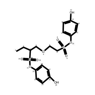 CCC(COCCS(=O)(=O)Oc1ccc(O)cc1)S(=O)(=O)Oc1ccc(O)cc1